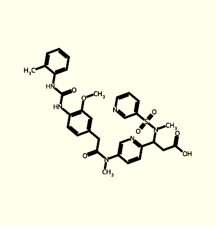 COc1cc(CC(=O)N(C)c2ccc(C(CC(=O)O)N(C)S(=O)(=O)c3cccnc3)nc2)ccc1NC(=O)Nc1ccccc1C